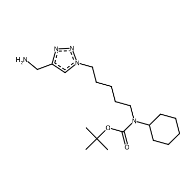 CC(C)(C)OC(=O)N(CCCCCn1cc(CN)nn1)C1CCCCC1